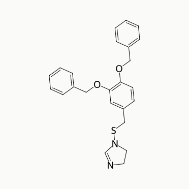 C1=NCCN1SCc1ccc(OCc2ccccc2)c(OCc2ccccc2)c1